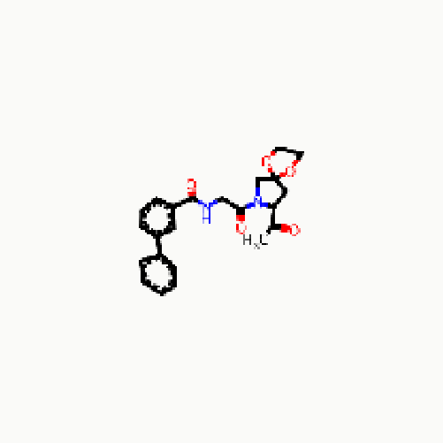 CC(=O)[C@@H]1CC2(CN1C(=O)CNC(=O)c1cccc(-c3ccccc3)c1)OCCO2